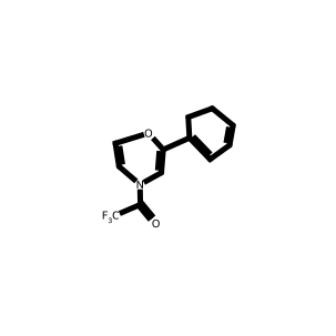 O=C(N1C=COC(C2=CC=CCC2)=C1)C(F)(F)F